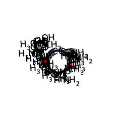 CC(=O)CN[C@@H](CC(=O)O)C(=O)N[C@H](C(=O)N[C@@H](CC(N)=O)C(=O)N1CCC[C@H]1C(=O)N[C@H](C(=O)C[C@]1(C)CCCCCC/C=C\CCC[C@@](C)(C(=O)N[C@@H](CCC(N)=O)C(N)=O)NC(=O)C(C)NC(=O)[C@H](C(C)C)NC(=O)[C@H](CCCCN)NC(=O)[C@H](CC(C)C)NC(=O)[C@H](Cc2ccccc2)NC(=O)[C@H](CC(C)C)NC1=O)[C@@H](C)O)C(C)C